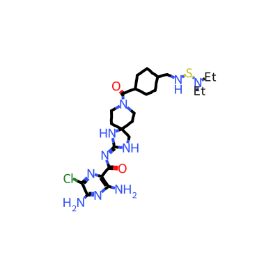 CCN(CC)SNCC1CCC(C(=O)N2CCC3(CC2)CN/C(=N\C(=O)c2nc(Cl)c(N)nc2N)N3)CC1